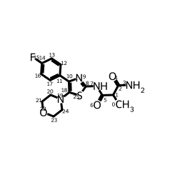 CC(C(N)=O)C(=O)Nc1nc(-c2ccc(F)cc2)c(N2CCOCC2)s1